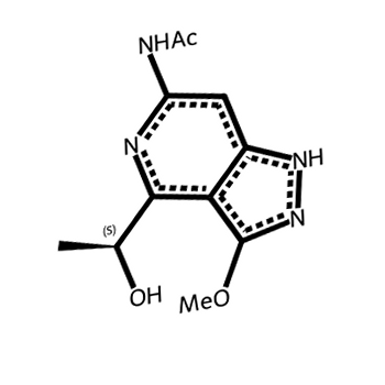 COc1n[nH]c2cc(NC(C)=O)nc([C@H](C)O)c12